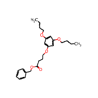 CCCCOc1cc(OCCCC)cc(OCCCC(=O)OCc2ccccc2)c1